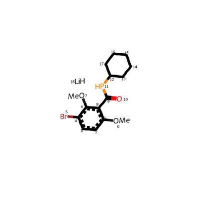 COc1ccc(Br)c(OC)c1C(=O)PC1CCCCC1.[LiH]